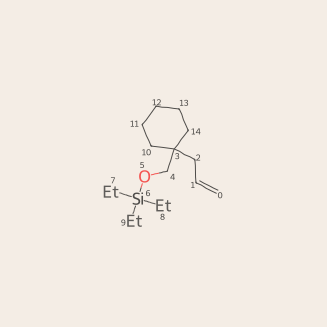 C=CCC1(CO[Si](CC)(CC)CC)CCCCC1